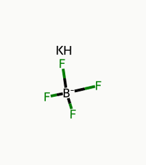 F[B-](F)(F)F.[KH]